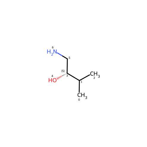 CC(C)[C@H](O)CN